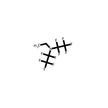 CCN(C(F)(F)C(F)(F)F)C(F)(F)C(F)(F)F